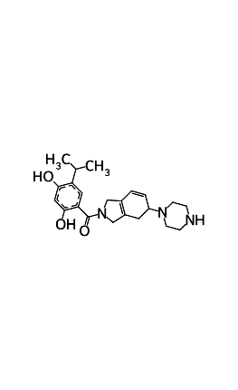 CC(C)c1cc(C(=O)N2CC3=C(CC(N4CCNCC4)C=C3)C2)c(O)cc1O